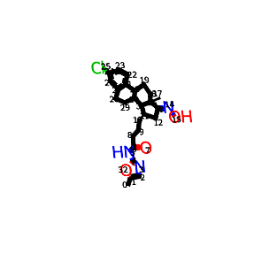 Cc1cnc(NC(=O)CCC[C@@H]2C/C(=N\O)[C@@]3(C)CCC4c5ccc(Cl)cc5CCC4C23)o1